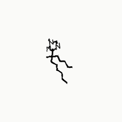 CCCCCCC(C)(CCCCC)c1ncn(C)n1